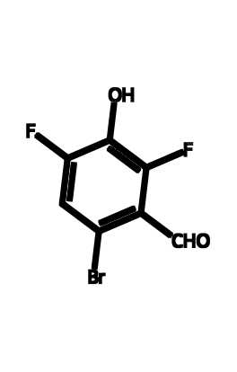 O=Cc1c(Br)cc(F)c(O)c1F